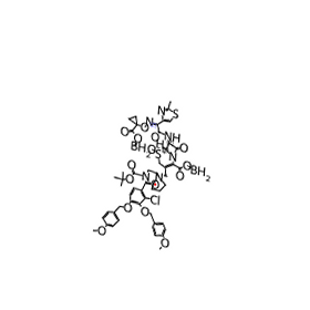 BOC(=O)C1=C(C[N+]2(CCN(C(=O)OC(C)(C)C)C(=O)c3ccc(OCc4ccc(OC)cc4)c(OCc4ccc(OC)cc4)c3Cl)CCCC2)C[S+]([O-])[C@@H]2[C@H](NC(=O)/C(=N\OC3(C(=O)OB)CC3)c3csc(C)n3)C(=O)N12